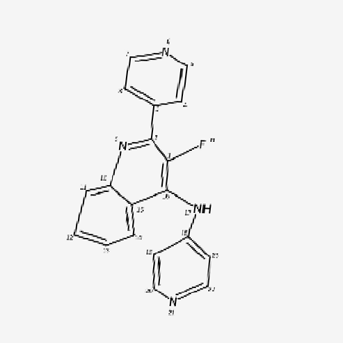 Fc1c(-c2ccncc2)nc2ccccc2c1Nc1ccncc1